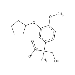 COc1ccc(C(C)(CO)[N+](=O)[O-])cc1OC1CCCC1